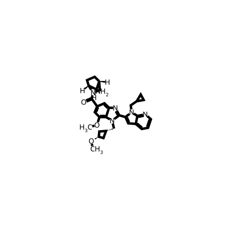 COc1cc(C(=O)N2C[C@H]3CC[C@@H]2[C@@H]3N)cc2nc(-c3cc4cccnc4n3CC3CC3)n(C[C@H]3C[C@@H](OC)C3)c12